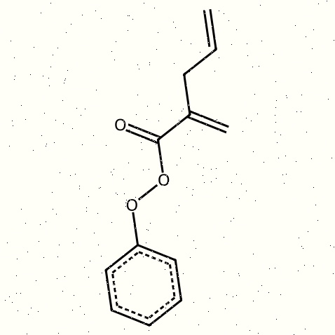 C=CCC(=C)C(=O)OOc1ccccc1